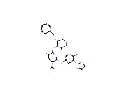 Cc1ncc(Nc2nc(NC3C(N)CCCC3OCc3ccccc3)c(F)cc2C(N)=O)cc1-n1nccn1